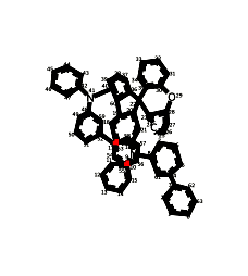 c1ccc(-c2cccc(N(c3ccccc3)c3ccc4c(c3)C3(c5ccccc5Oc5ccccc53)c3cccc(N(c5ccccc5)c5cccc(-c6ccccc6)c5)c3-4)c2)cc1